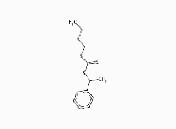 CCCCSC(=S)SC(C)c1ccccc1